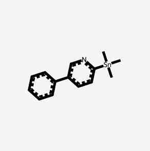 [CH3][Sn]([CH3])([CH3])[c]1ccc(-c2ccccc2)cn1